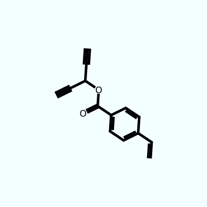 C#CC(C#C)OC(=O)c1ccc(C=C)cc1